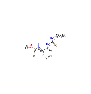 CCOC(=O)NC(=S)Nc1ccccc1NC(=S)OCC